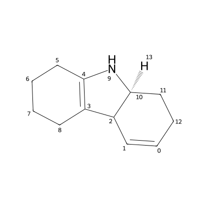 C1=CC2C3=C(CCCC3)N[C@H]2CC1